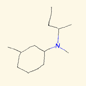 CCC(C)N(C)C1CCCC(C)C1